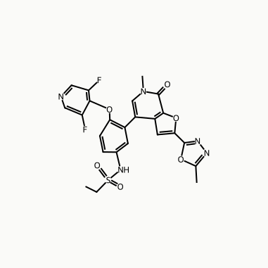 CCS(=O)(=O)Nc1ccc(Oc2c(F)cncc2F)c(-c2cn(C)c(=O)c3oc(-c4nnc(C)o4)cc23)c1